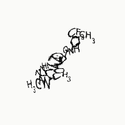 Cc1ccc(NC(=O)c2cc(CNC(=O)c3ncnc4c3c(C)nn4C)no2)cc1C(F)(F)F